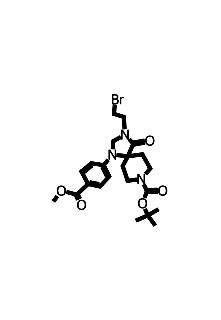 COC(=O)c1ccc(N2CN(CCBr)C(=O)C23CCN(C(=O)OC(C)(C)C)CC3)cc1